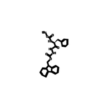 CC(C)(C)OC(=O)N[C@H](Cc1ccccc1)C(=O)NNC(=O)OCC1c2ccccc2-c2ccccc21